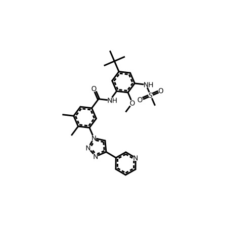 COc1c(NC(=O)c2cc(C)c(C)c(-n3cc(-c4cccnc4)nn3)c2)cc(C(C)(C)C)cc1NS(C)(=O)=O